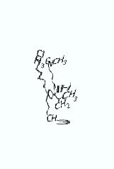 C=C(C)C(=O)NCCCN(C)C.CCCCCCCCCCCCCl